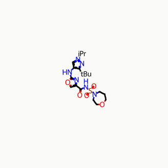 CC(C)n1cc(Nc2nc(C(=O)NS(=O)(=O)N3CCCOCC3)co2)c(C(C)(C)C)n1